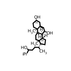 CC(C)C(O)CCC(C)[C@H]1CC[C@H]2[C@@H]3[C@H](O)C=C4C[C@@H](O)CC[C@]4(C)[C@H]3CC[C@]12C